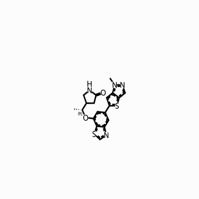 C[C@@H](Oc1cc(-c2cc3c(cnn3C)s2)cc2ncsc12)C1CNC(=O)C1